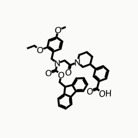 CCOc1cc(OC)ccc1CN(CC(=O)N1CCCC(c2cccc(C(=O)O)c2)C1)C(=O)OCC1c2ccccc2-c2ccccc21